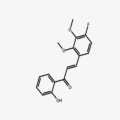 COc1c(F)ccc(C=CC(=O)c2ccccc2O)c1OC